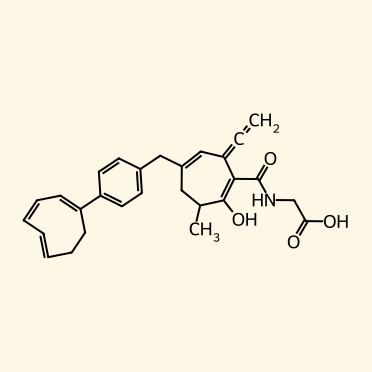 C=C=C1C=C(Cc2ccc(/C3=C/C=C\C=C\CC3)cc2)CC(C)C(O)=C1C(=O)NCC(=O)O